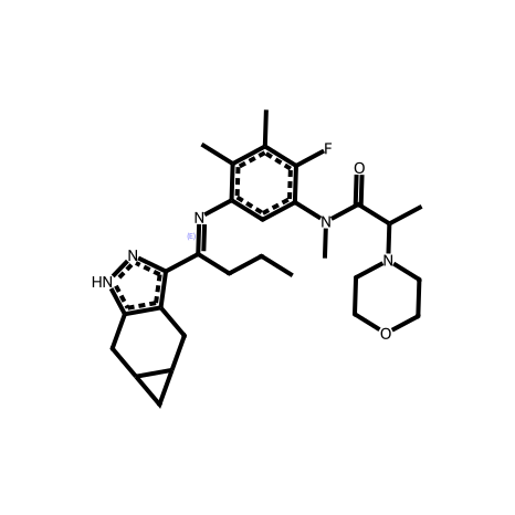 CCC/C(=N\c1cc(N(C)C(=O)C(C)N2CCOCC2)c(F)c(C)c1C)c1n[nH]c2c1CC1CC1C2